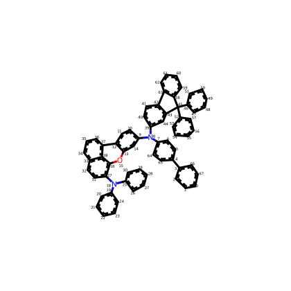 c1ccc(-c2ccc(N(c3ccc4c(c3)Oc3c(N(c5ccccc5)c5ccccc5)ccc5cccc-4c35)c3ccc4c(c3)C(c3ccccc3)(c3ccccc3)c3ccccc3-4)cc2)cc1